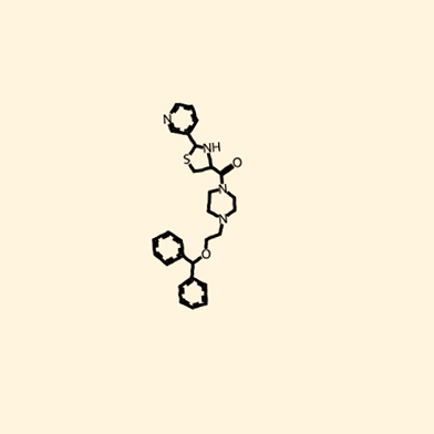 O=C(C1CSC(c2cccnc2)N1)N1CCN(CCOC(c2ccccc2)c2ccccc2)CC1